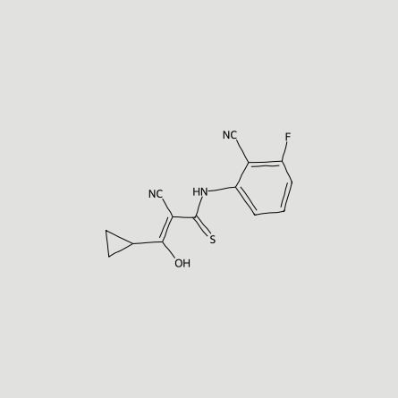 N#C/C(C(=S)Nc1cccc(F)c1C#N)=C(/O)C1CC1